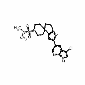 CN(C)S(=O)(=O)N1CCC2(CC1)CCn1nc(-c3cnc4[nH]cc(Cl)c4c3)cc12